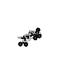 COC(=O)C(CCC(c1ccccc1)(c1ccccc1)N1C(=O)c2ccccc2C1=O)C(=O)N[C@@H]1C(=O)N2C(C(=O)OC(c3ccccc3)c3ccccc3)=C(CO)CS[C@@H]12